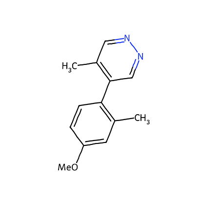 COc1ccc(-c2cnncc2C)c(C)c1